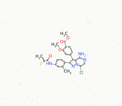 C=C(F)C(=O)Nc1ccc(-c2nn3c(Cl)cnc(N)c3c2-c2ccc(C(=O)OC)c(OC)c2)c(C)c1